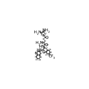 N[C@@H](CCC(=O)N1C[C@H](N)[C@@H](N)C1)C(=O)N[C@H](Cc1ccc(C(F)(F)F)cc1)C(=O)Nc1cnc2ccccc2c1